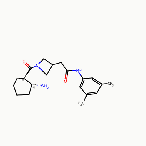 N[C@@H]1CCCC[C@H]1C(=O)N1CC(CC(=O)Nc2cc(C(F)(F)F)cc(C(F)(F)F)c2)C1